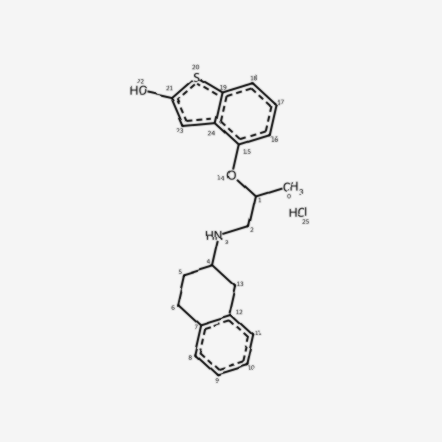 CC(CNC1CCc2ccccc2C1)Oc1cccc2sc(O)cc12.Cl